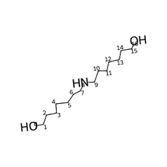 OCCCCCCCNCCCCCCCO